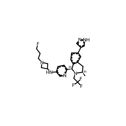 C[C@@H]1Cc2cc(-c3cn[nH]c3)ccc2[C@H](c2ccc(NC3CN(CCCF)C3)cn2)N1CC(F)(F)F